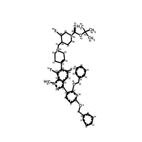 Cn1nc(-c2ccc(OCc3ccccc3)nc2OCc2ccccc2)c2cc(F)c(C3=CCN(CC4CCN(C(=O)OC(C)(C)C)CC4F)CC3)c(F)c21